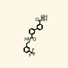 O=C(NO)c1cccc(-c2cccc(C(=O)NCCc3cccc(C(F)(F)F)c3)c2)c1